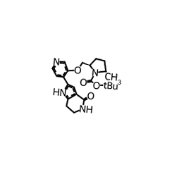 C[C@@H]1CC[C@H](COc2cnccc2-c2cc3c([nH]2)CCNC3=O)N1C(=O)OC(C)(C)C